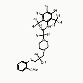 [2H]c1c([2H])c(C([2H])([2H])[2H])c(NC(=O)C([2H])([2H])N2CCN(CC([2H])(O)COc3ccccc3OC)CC2)c(C([2H])([2H])[2H])c1[2H]